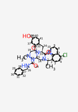 C[C@H](c1ccc(Cl)c2cccnc12)N1CC2N(C(=O)CN(C)N2C(=O)NCc2ccccc2)[C@@H](Cc2ccc(O)cc2)C1=O